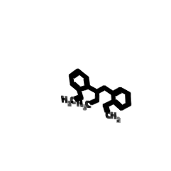 C=Cc1ccccc1CC(CC)c1ccccc1C=C